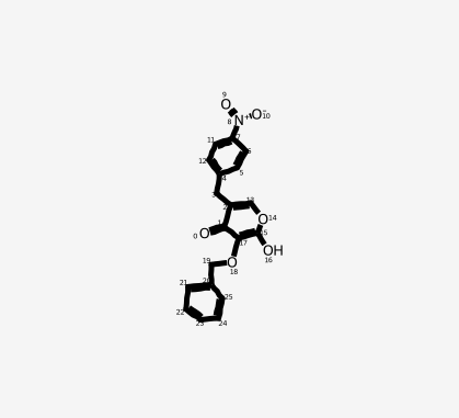 O=c1c(Cc2ccc([N+](=O)[O-])cc2)coc(O)c1OCc1ccccc1